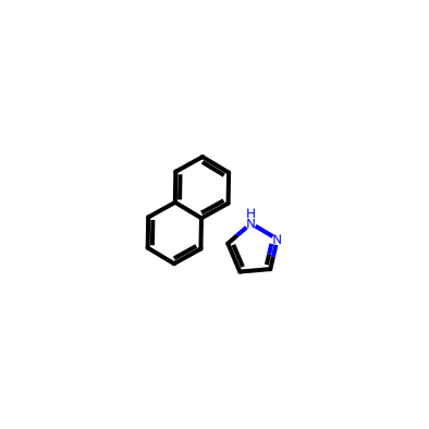 c1ccc2ccccc2c1.c1cn[nH]c1